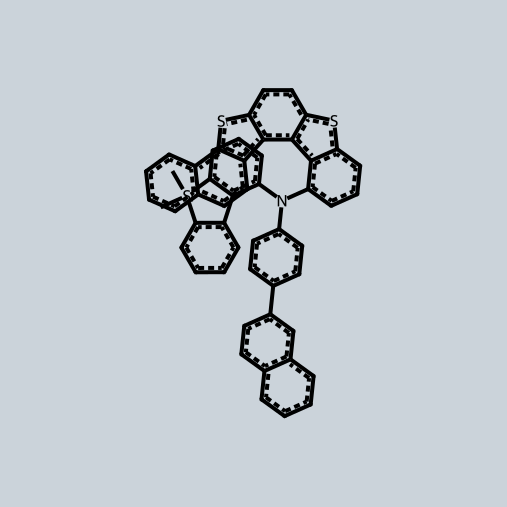 C[Si]1(C)c2ccccc2-c2c(N(c3ccc(-c4ccc5ccccc5c4)cc3)c3cccc4sc5ccc6sc7c8ccccc8ccc7c6c5c34)cccc21